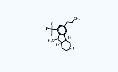 CCCc1cc2c(c(C(F)(F)F)c1)N(C)[C@@H]1CCNC[C@H]21